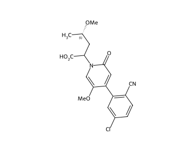 COc1cn(C(C[C@H](C)OC)C(=O)O)c(=O)cc1-c1cc(Cl)ccc1C#N